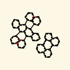 c1cc2cccc3c4cccc5cccc(c(c1)c23)c54.c1ccc(-c2c3ccccc3c(-c3ccccc3)c3c(-c4ccccc4)c4ccccc4c(-c4ccccc4)c23)cc1